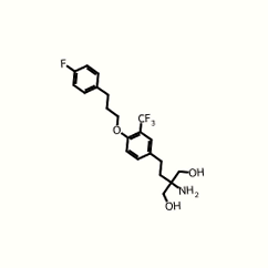 NC(CO)(CO)CCc1ccc(OCCCc2ccc(F)cc2)c(C(F)(F)F)c1